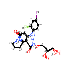 O=C(NOC[C@H](O)CO)c1c(Nc2ccc(I)cc2F)cc(=O)n2c1CCC2